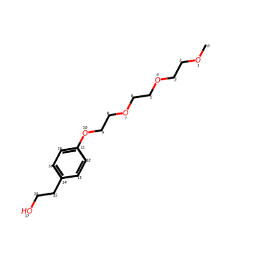 COCCOCCOCCOc1ccc(CCO)cc1